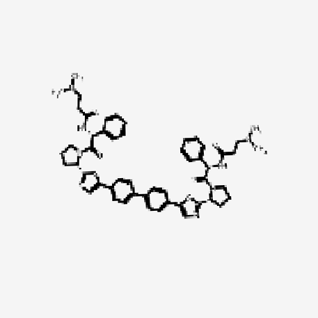 CN(C)CCC(=O)N[C@@H](C(=O)N1CCC[C@H]1c1ncc(-c2ccc(-c3ccc(-c4cnc([C@@H]5CCCN5C(=O)[C@H](NC(=O)CCN(C)C)c5ccccc5)s4)cc3)cc2)s1)c1ccccc1